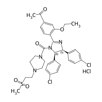 CCOc1cc(C(C)=O)ccc1C1=N[C@@H](c2ccc(Cl)cc2)[C@@H](c2ccc(Cl)cc2)N1C(=O)N1CCN(CCS(C)(=O)=O)CC1.Cl